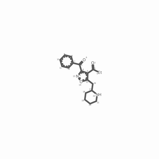 CCC(=O)c1c(C(=O)c2ccccc2)noc1CC1CCCCN1